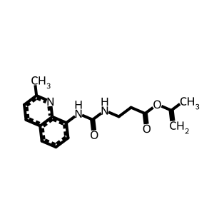 C=C(C)OC(=O)CCNC(=O)Nc1cccc2ccc(C)nc12